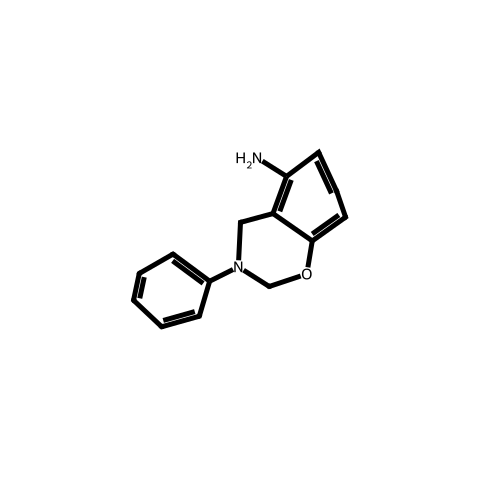 Nc1cccc2c1CN(c1ccccc1)CO2